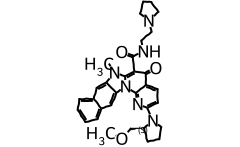 COC[C@@H]1CCCN1c1ccc2c(=O)c(C(=O)NCCN3CCCC3)c3n(C)c4cc5ccccc5cc4n3c2n1